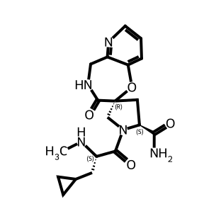 CN[C@@H](CC1CC1)C(=O)N1C[C@@]2(C[C@H]1C(N)=O)Oc1cccnc1CNC2=O